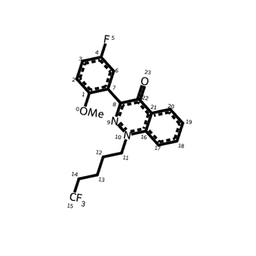 COc1ccc(F)cc1-c1nn(CCCCC(F)(F)F)c2ccccc2c1=O